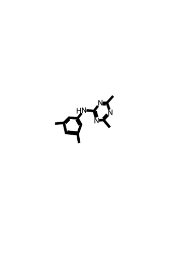 Cc1cc(C)cc(Nc2nc(C)nc(C)n2)c1